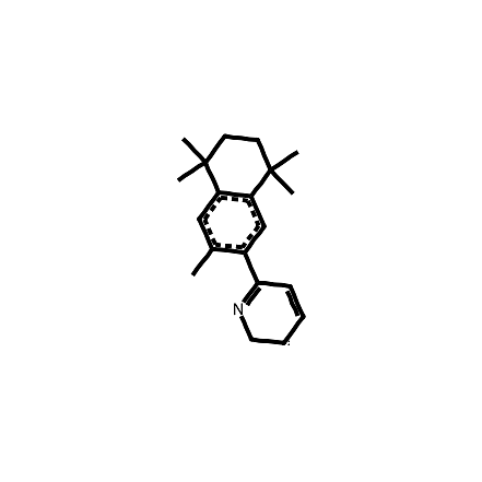 Cc1cc2c(cc1C1=NC[C]C=C1)C(C)(C)CCC2(C)C